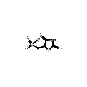 O=C1NC(=O)C(CS(=O)(=O)Cl)N1